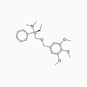 CC[C@@](COCc1cc(OC)c(OC)c(OC)c1)(c1ccccc1)N(C)C